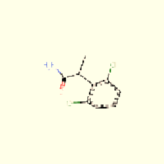 CC(C(N)=O)c1c(Cl)cccc1Cl